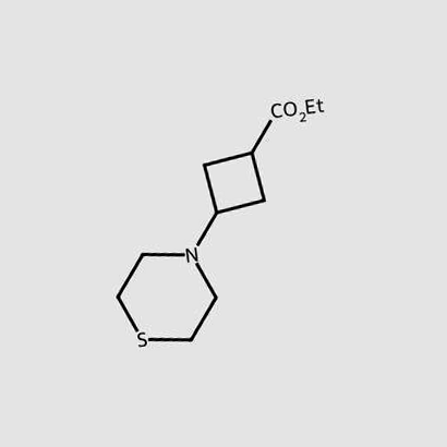 CCOC(=O)C1CC(N2CCSCC2)C1